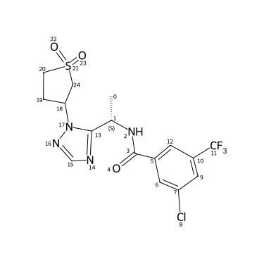 C[C@H](NC(=O)c1cc(Cl)cc(C(F)(F)F)c1)c1ncnn1C1CCS(=O)(=O)C1